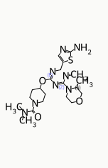 C=N/C(=N\C(=N/Cc1cnc(N)s1)OC1CCN(C(=O)N(C)C)CC1)N1CCOC[C@@H]1C